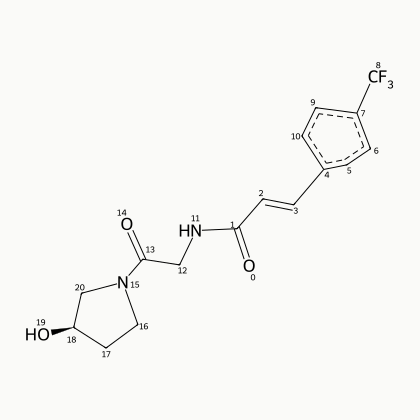 O=C(/C=C/c1ccc(C(F)(F)F)cc1)NCC(=O)N1CC[C@@H](O)C1